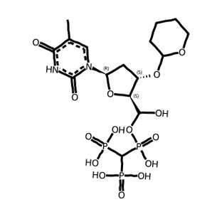 Cc1cn([C@H]2C[C@H](OC3CCCCO3)[C@@H](C(O)OP(=O)(O)C(P(=O)(O)O)P(=O)(O)O)O2)c(=O)[nH]c1=O